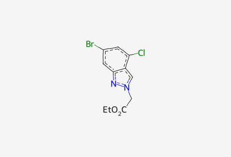 CCOC(=O)Cn1cc2c(Cl)cc(Br)cc2n1